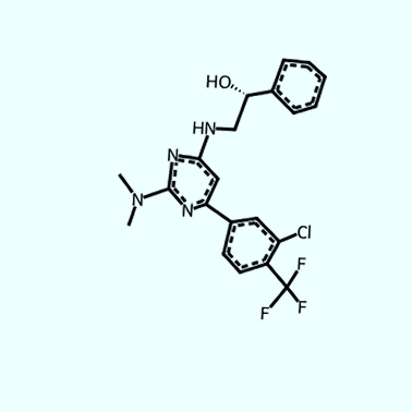 CN(C)c1nc(NC[C@H](O)c2ccccc2)cc(-c2ccc(C(F)(F)F)c(Cl)c2)n1